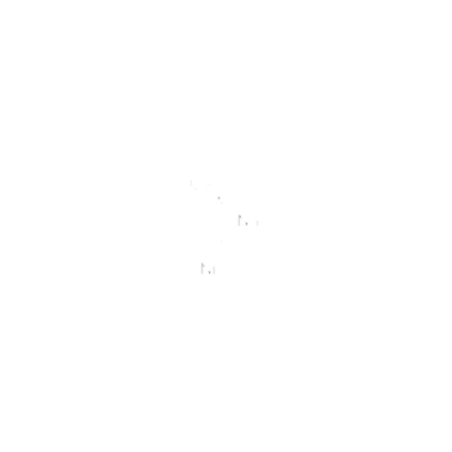 [Al].[Co].[Na].[Ni].[S]